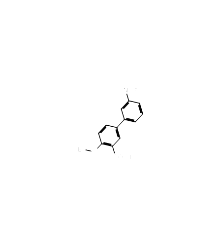 CCOc1ccc(-c2cccc(NC(C)=O)c2)cc1C(=O)O